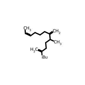 C=C(CCC(C)C(=C)CCC/C=C\C)C(C)CC